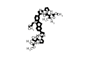 COCCn1c2c(c3cc(-c4cnc([C@@H]5CCCN5C(=O)C(NC(=O)OC)C(C)C)[nH]4)ccc31)Cc1cc(-c3cnc([C@@H]4CCCN4C(=O)[C@@H](NC(=O)OC)C(C)C)[nH]3)ccc1-2